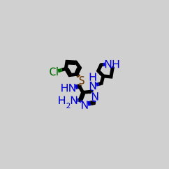 N=C(Sc1cccc(Cl)c1)c1c(N)ncnc1NCC1CCNCC1